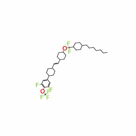 CCCCCCCC1CCC(C(F)(F)OC2CCC(/C=C/C3CCC(c4cc(F)c(OC(F)(F)F)c(F)c4)CC3)CC2)CC1